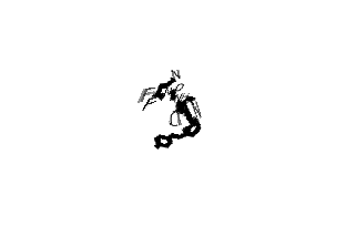 CC1CCC(C=Cc2ccc3nccc(C(=O)NCC(=O)N4CC(F)(F)CC4C#N)c3c2)CC1